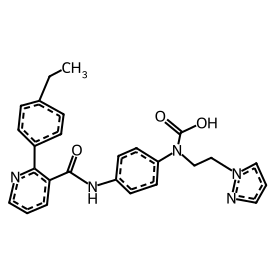 CCc1ccc(-c2ncccc2C(=O)Nc2ccc(N(CCn3cccn3)C(=O)O)cc2)cc1